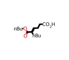 CCCCOC(=O)C(=CCCC(=O)O)CCCC